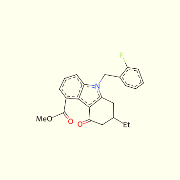 CCC1CC(=O)c2c(n(Cc3ccccc3F)c3cccc(C(=O)OC)c23)C1